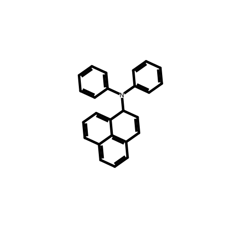 C1=CC(N(c2ccccc2)c2ccccc2)c2cccc3cccc1c23